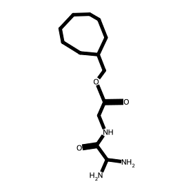 NC(N)C(=O)NCC(=O)OCC1CCCCCCC1